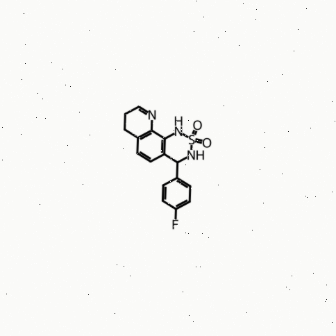 O=S1(=O)Nc2c(ccc3c2N=CCC3)C(c2ccc(F)cc2)N1